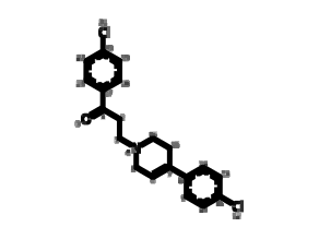 O=C(CCN1CC=C(c2ccc(Cl)cc2)CC1)c1ccc(Cl)cc1